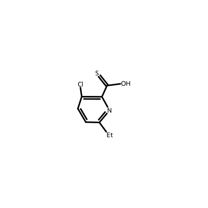 CCc1ccc(Cl)c(C(O)=S)n1